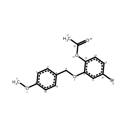 COc1ccc(COc2cc(Br)ccc2OC(C)=O)cc1